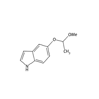 COC(C)Oc1ccc2[nH]ccc2c1